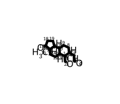 C[C@]12COC(=O)C[C@@H]1CC[C@@H]1[C@@H]2CC[C@]2(C)C(=O)CC[C@@H]12